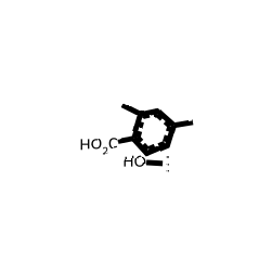 Cc1ccc(C(=O)O)c(C)c1.[C]O